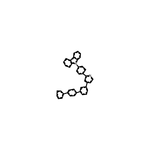 c1ccc(-c2ccc(-c3cccc(-c4ccnc(-c5ccc(-n6c7ccccc7c7ccccc76)cc5)c4)c3)cc2)cc1